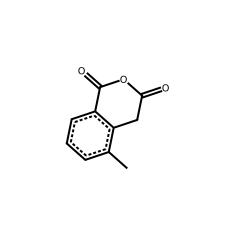 Cc1cccc2c1CC(=O)OC2=O